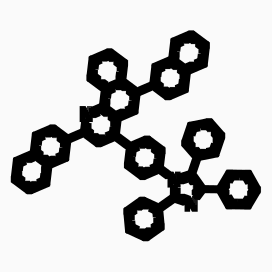 c1ccc(-c2nc(-c3ccccc3)n(-c3ccc(-c4cc(-c5ccc6ccccc6c5)nc5c4cc(-c4ccc6ccccc6c4)c4ccccc45)cc3)c2-c2ccccc2)cc1